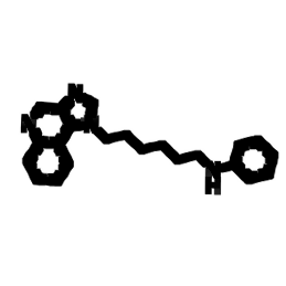 c1ccc(NCCCCCCn2cnc3cnc4ccccc4c32)cc1